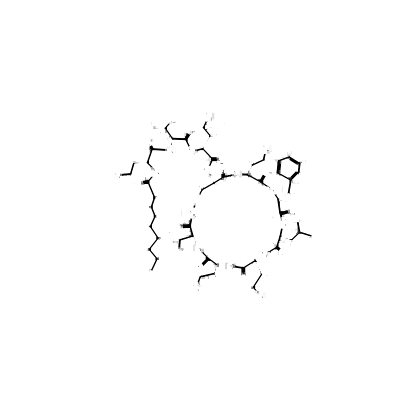 CCCCCCCCC(=O)N[C@@H](CCN)C(=O)N[C@H](C(=O)N[C@@H](CCN)C(=O)N[C@H]1CCNC(=O)[C@H]([C@@H](C)O)NC(=O)[C@H](CCN)NC(=O)[C@H](CCN)NC(=O)[C@H](CC(C)C)NC(=O)[C@@H](Cc2ccccc2)NC(=O)[C@H](CCN)NC1=O)[C@@H](C)O